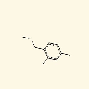 CNCc1ccc(C)cc1C.Cl